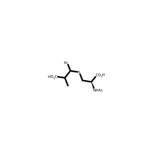 CC(=O)N[C@@H](CSC(C(C)=O)C(C)C(=O)O)C(=O)O